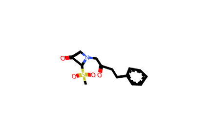 CS(=O)(=O)C1C(=O)CN1CC(=O)CCc1ccccc1